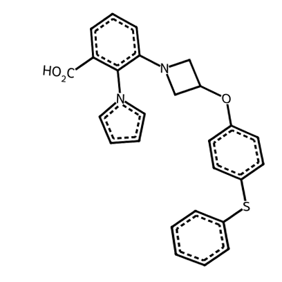 O=C(O)c1cccc(N2CC(Oc3ccc(Sc4ccccc4)cc3)C2)c1-n1cccc1